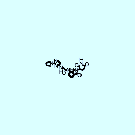 O=C1CCC(N2Cc3c(NC(=O)CNc4ccnc(N5CCCC5)n4)cccc3C2=O)C(=O)N1